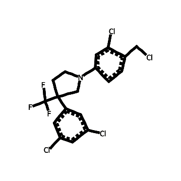 FC(F)(F)C1(c2cc(Cl)cc(Cl)c2)CCN(c2ccc(CCl)c(Cl)c2)C1